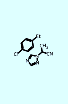 CC(C#N)n1cncn1.CCc1ccc(Cl)cc1